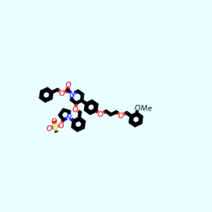 COc1ccccc1COCCCOc1ccc(C2CCN(C(=O)OCc3ccccc3)CC2OCc2ccccc2N2CCCC2OS(C)(=O)=O)cc1